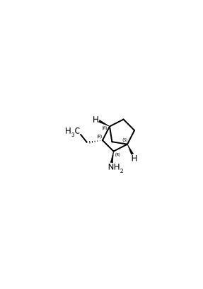 CC[C@@H]1[C@@H]2CC[C@@H](C2)[C@H]1N